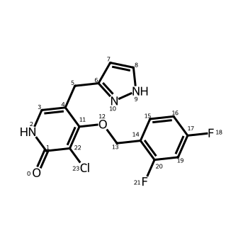 O=c1[nH]cc(Cc2cc[nH]n2)c(OCc2ccc(F)cc2F)c1Cl